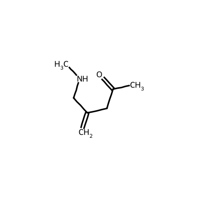 C=C(CNC)CC(C)=O